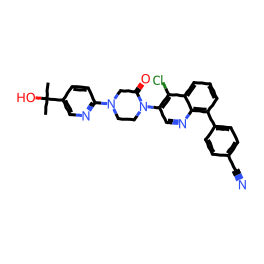 CC(C)(O)c1ccc(N2CCN(c3cnc4c(-c5ccc(C#N)cc5)cccc4c3Cl)C(=O)C2)nc1